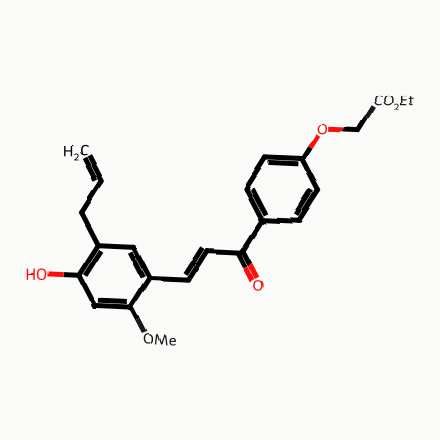 C=CCc1cc(/C=C/C(=O)c2ccc(OCC(=O)OCC)cc2)c(OC)cc1O